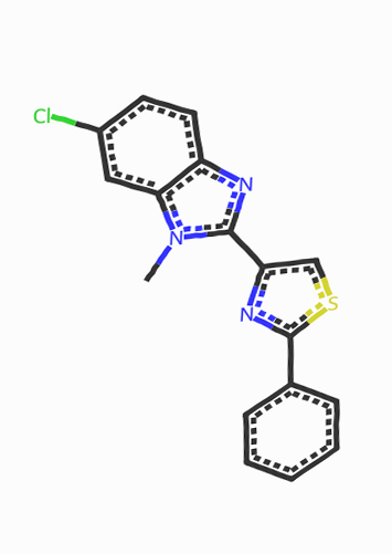 Cn1c(-c2csc(-c3ccccc3)n2)nc2ccc(Cl)cc21